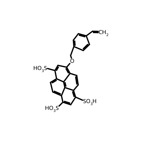 C=Cc1ccc(COc2cc(S(=O)(=O)O)c3ccc4c(S(=O)(=O)O)cc(S(=O)(=O)O)c5ccc2c3c54)cc1